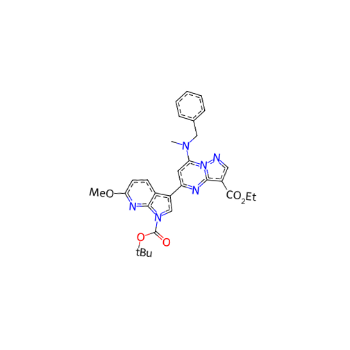 CCOC(=O)c1cnn2c(N(C)Cc3ccccc3)cc(-c3cn(C(=O)OC(C)(C)C)c4nc(OC)ccc34)nc12